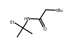 CCC(C)(C)NC(=O)CC(C)(C)C